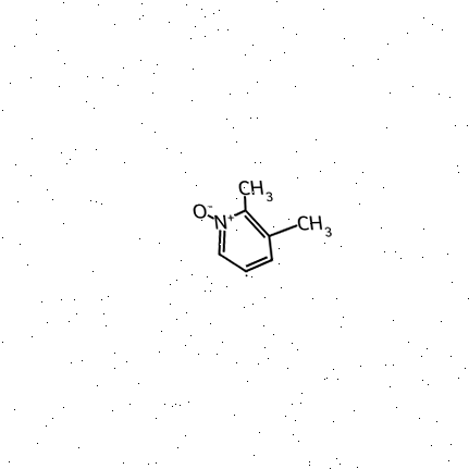 Cc1c[c]c[n+]([O-])c1C